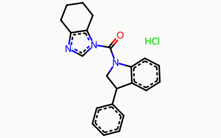 Cl.O=C(N1CC(c2ccccc2)c2ccccc21)n1cnc2c1CCCC2